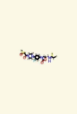 CCC(=S)NC[C@H]1CN(c2ccc(N3CCN(C(=O)C[S+](C)[O-])CC3)c(F)c2)C(=O)O1